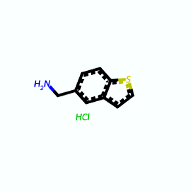 Cl.NCc1ccc2sccc2c1